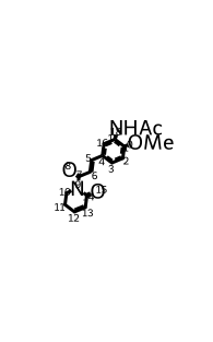 COc1ccc(/C=C/C(=O)N2CCC=CC2=O)cc1NC(C)=O